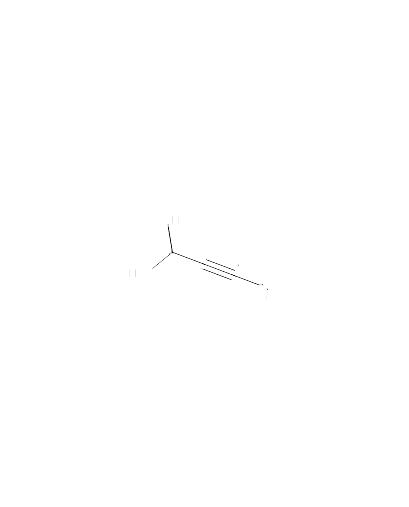 CC(C)C#C[NH]